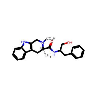 C[C@]1(C(=O)NC(CO)Cc2ccccc2)Cc2c([nH]c3ccccc23)CN1C(=O)O